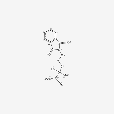 CCC(CCON1C(=O)c2ccccc2C1=O)(SC)C(=O)OC